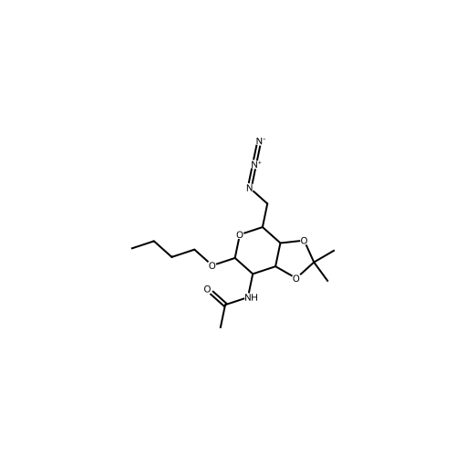 CCCCOC1OC(CN=[N+]=[N-])C2OC(C)(C)OC2C1NC(C)=O